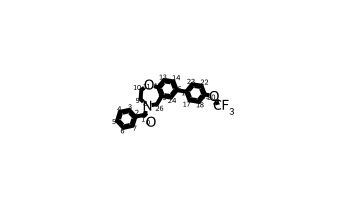 O=C(c1ccccc1)N1CCOc2ccc(-c3ccc(OC(F)(F)F)cc3)cc2C1